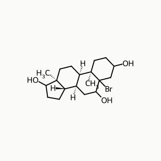 C[C@]12CC[C@@H]3[C@@H](CC(O)C4(Br)CC(O)CC[C@]34C)[C@@H]1CCC2O